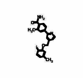 Cc1ccc(I)c(OCc2ccnc(-c3ccc(C(N)=O)c(C)c3)c2)c1